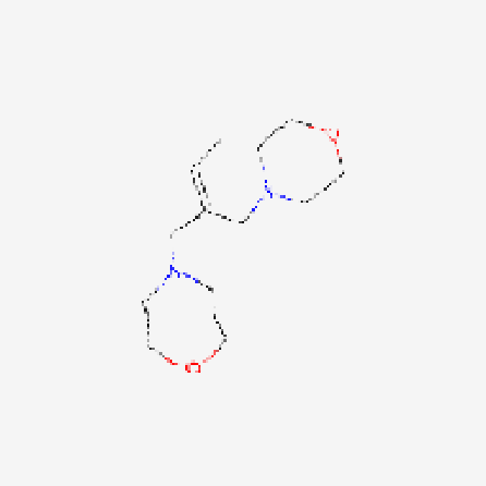 CC=C(CN1CCOCC1)CN1CCOCC1